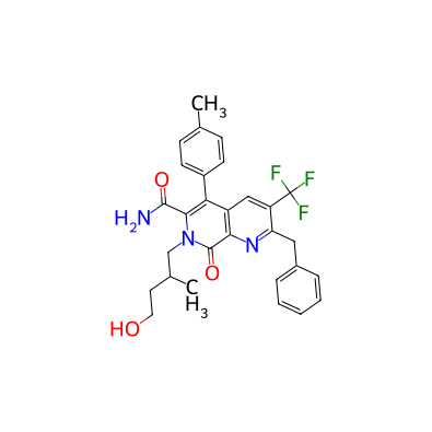 Cc1ccc(-c2c(C(N)=O)n(CC(C)CCO)c(=O)c3nc(Cc4ccccc4)c(C(F)(F)F)cc23)cc1